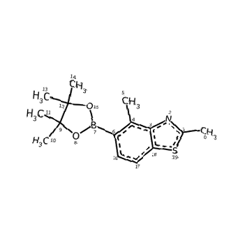 Cc1nc2c(C)c(B3OC(C)(C)C(C)(C)O3)ccc2s1